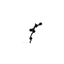 COCCCc1ccc(CCCCOc2cccc(N(CC(=O)c3ccc(OCc4ccccc4)c(NC=O)c3)Cc3ccccc3)c2)cc1